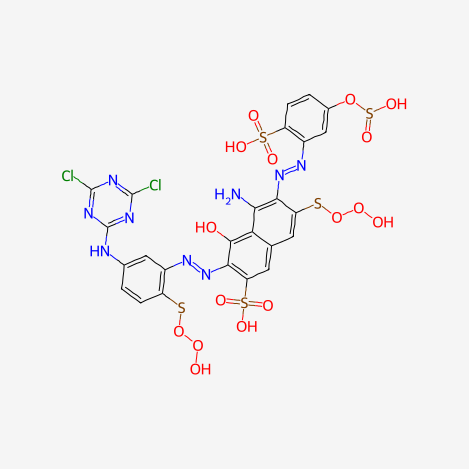 Nc1c(/N=N/c2cc(OS(=O)O)ccc2S(=O)(=O)O)c(SOOO)cc2cc(S(=O)(=O)O)c(N=Nc3cc(Nc4nc(Cl)nc(Cl)n4)ccc3SOOO)c(O)c12